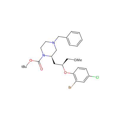 COC[C@H](C[C@@H]1CN(Cc2ccccc2)CCN1C(=O)OC(C)(C)C)Oc1ccc(Cl)cc1Br